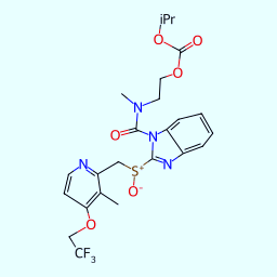 Cc1c(OCC(F)(F)F)ccnc1C[S+]([O-])c1nc2ccccc2n1C(=O)N(C)CCOC(=O)OC(C)C